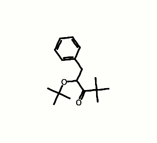 CC(C)(C)OC(Cc1ccccc1)C(=O)C(C)(C)C